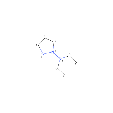 CCN(CC)N1CCC[N]1